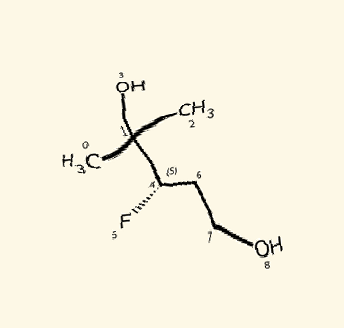 CC(C)(O)[C@@H](F)CCO